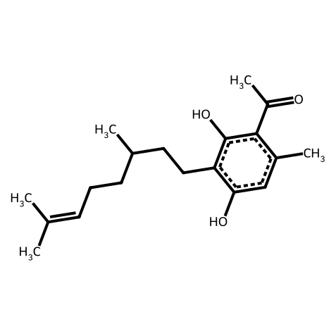 CC(=O)c1c(C)cc(O)c(CCC(C)CCC=C(C)C)c1O